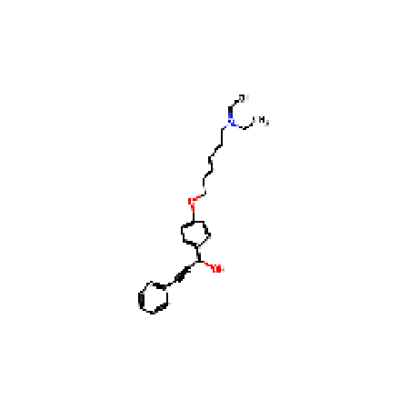 CCN(CC)CCCCCCOc1ccc(C(O)C#Cc2ccccc2)cc1